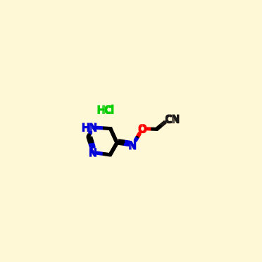 Cl.N#CCO/N=C1/CN=CNC1